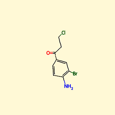 Nc1ccc(C(=O)CCCl)cc1Br